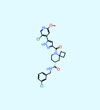 COc1cc(-c2cc(C(=O)N3CC[C@@H](C(=O)NCc4cccc(Cl)c4)CC34CCC4)n[nH]2)c(Cl)cn1